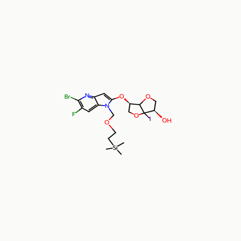 C[Si](C)(C)CCOCn1c(O[C@@H]2COC3(I)C2OC[C@H]3O)cc2nc(Br)c(F)cc21